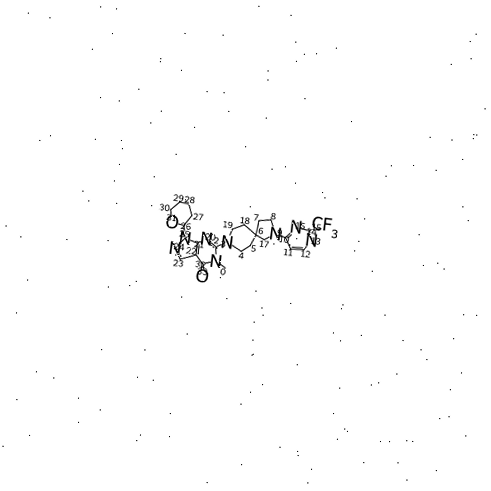 Cn1c(N2CCC3(CCN(c4ccnc(C(F)(F)F)n4)C3)CC2)nc2c(cnn2C2CCCCO2)c1=O